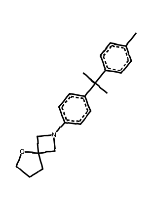 Cc1ccc(C(C)(C)c2ccc(N3CC4(CCCO4)C3)cc2)cc1